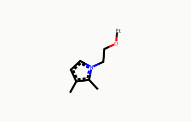 CCOCCn1ccc(C)c1C